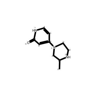 CC1CN(c2cc[nH]c(=O)c2)CCN1